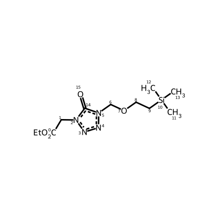 CCOC(=O)Cn1nnn(COCC[Si](C)(C)C)c1=O